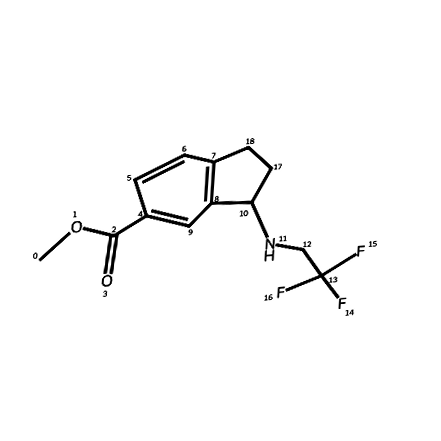 COC(=O)c1ccc2c(c1)C(NCC(F)(F)F)CC2